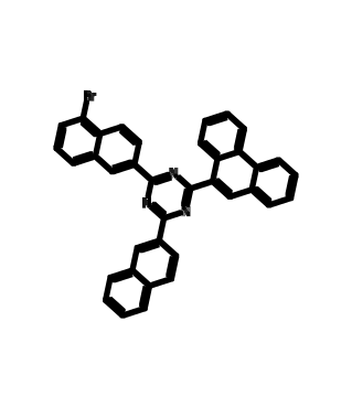 Brc1cccc2cc(-c3nc(-c4ccc5ccccc5c4)nc(-c4cc5ccccc5c5ccccc45)n3)ccc12